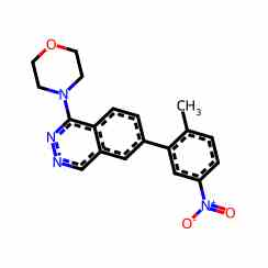 Cc1ccc([N+](=O)[O-])cc1-c1ccc2c(N3CCOCC3)nncc2c1